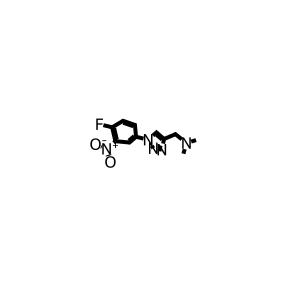 CN(C)Cc1cn(-c2ccc(F)c([N+](=O)[O-])c2)nn1